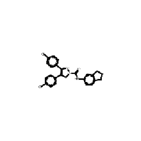 O=C(Nc1ccc2c(c1)CCC2)N1CC(c2ccc(Cl)cc2)=C(c2ccc(Cl)cc2)N1